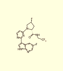 O=C(NCC(F)(F)F)[C@H]1C[C@H](F)CN1c1ccnc(-c2c[nH]c3ncc(F)cc23)n1